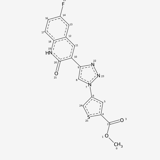 COC(=O)c1cc(-n2cc(-c3cc4cc(F)ccc4[nH]c3=O)nn2)cs1